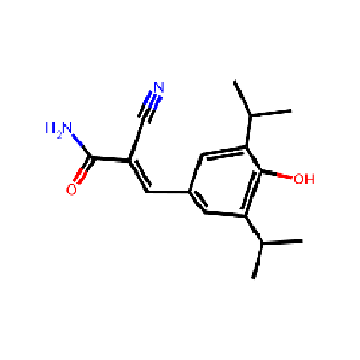 CC(C)c1cc(/C=C(\C#N)C(N)=O)cc(C(C)C)c1O